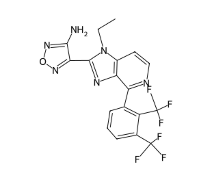 CCn1c(-c2nonc2N)nc2c(-c3cccc(C(F)(F)F)c3C(F)(F)F)nccc21